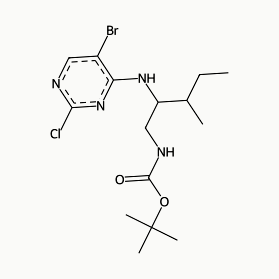 CCC(C)C(CNC(=O)OC(C)(C)C)Nc1nc(Cl)ncc1Br